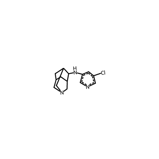 Clc1cncc(NC2C3CC4CC2CN(C4)C3)c1